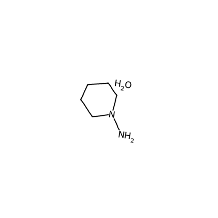 NN1CCCCC1.O